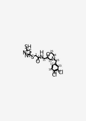 O=C(CSc1nnc(S)s1)NCC1CN(Cc2ccc(Cl)c(Cl)c2)CCO1